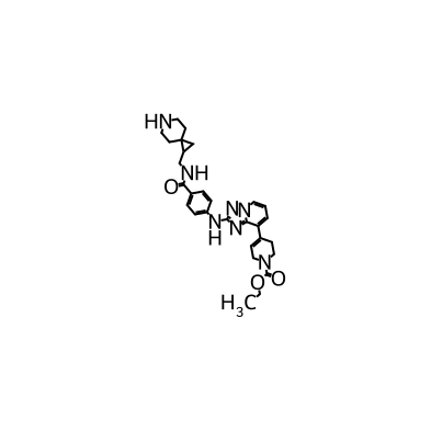 CCOC(=O)N1CC=C(c2cccn3nc(Nc4ccc(C(=O)NCC5CC56CCNCC6)cc4)nc23)CC1